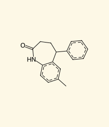 Cc1ccc2c(c1)C(c1ccccc1)CCC(=O)N2